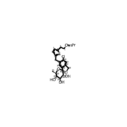 CCCOCCc1ccc(Cc2cc3c(cc2Cl)CO[C@]32O[C@H](C)[C@@H](O)[C@H](O)[C@H]2O)s1